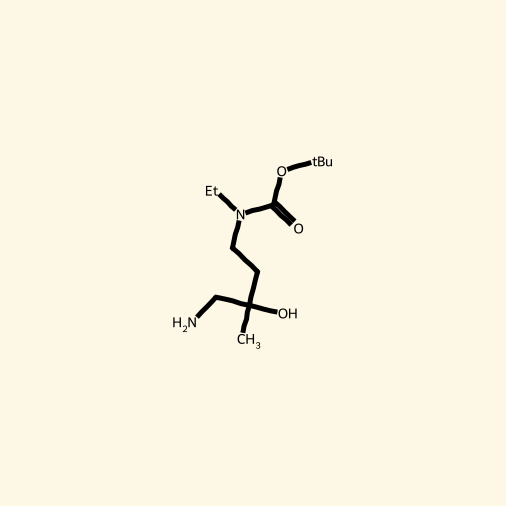 CCN(CCC(C)(O)CN)C(=O)OC(C)(C)C